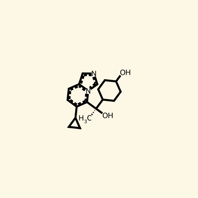 C[C@](O)(c1c(C2CC2)ccc2cncn12)C1CCC(O)CC1